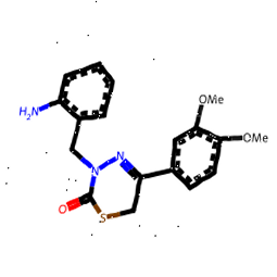 COc1ccc(C2=NN(Cc3ccccc3N)C(=O)SC2)cc1OC